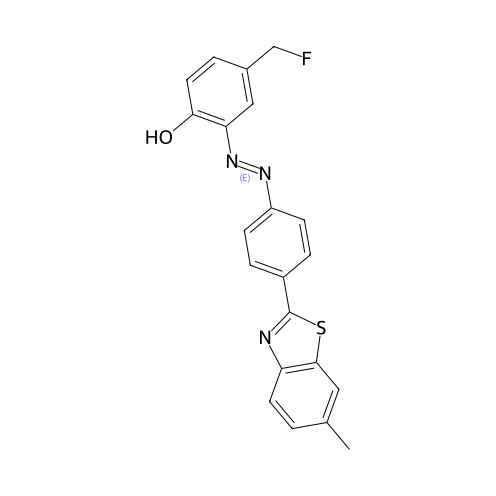 Cc1ccc2nc(-c3ccc(/N=N/c4cc(CF)ccc4O)cc3)sc2c1